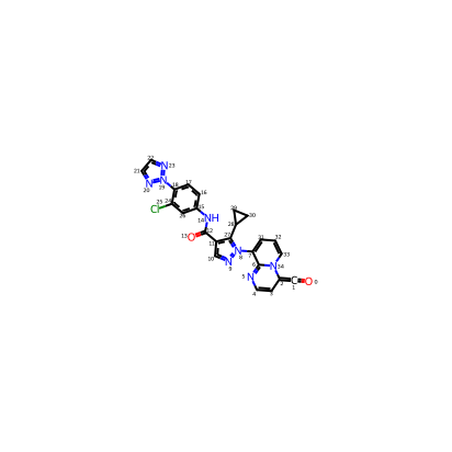 O=C=C1C=CN=C2C(n3ncc(C(=O)Nc4ccc(-n5nccn5)c(Cl)c4)c3C3CC3)=CC=CN12